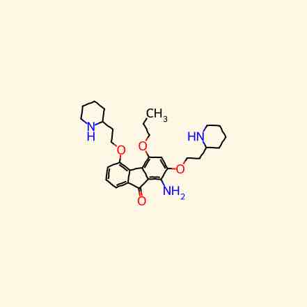 CCCOc1cc(OCCC2CCCCN2)c(N)c2c1-c1c(OCCC3CCCCN3)cccc1C2=O